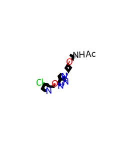 CC(=O)N[C@@H](C)CO[C@H]1C[C@H](Cn2ccc3c(OCc4cc(Cl)ccn4)ncnc32)C1